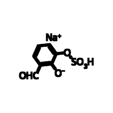 O=Cc1cccc(OS(=O)(=O)O)c1[O-].[Na+]